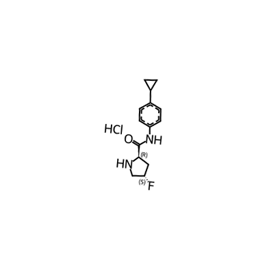 Cl.O=C(Nc1ccc(C2CC2)cc1)[C@H]1C[C@H](F)CN1